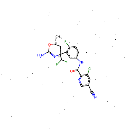 C[C@@H]1C[C@@](c2cc(NC(=O)c3ncc(C#N)cc3Cl)ccc2F)(C(F)F)N=C(N)O1